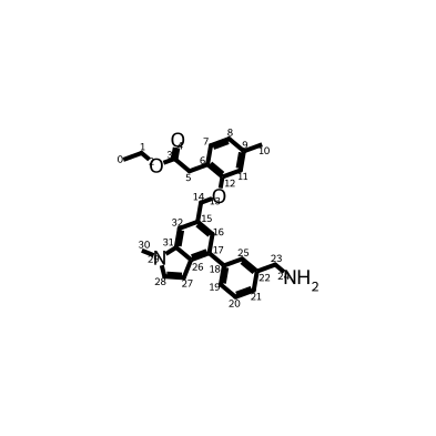 CCOC(=O)Cc1ccc(C)cc1OCc1cc(-c2cccc(CN)c2)c2ccn(C)c2c1